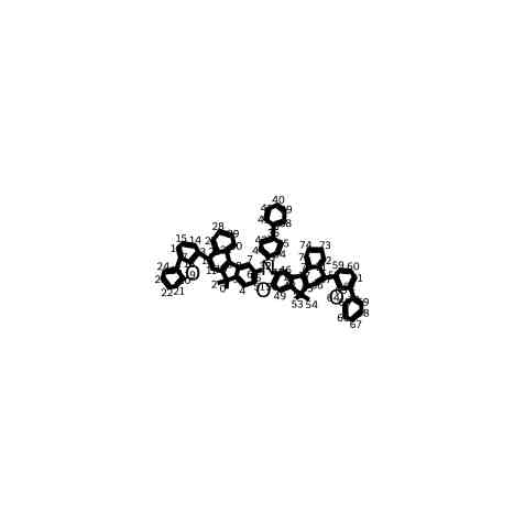 CC1(C)c2cc3c(cc2-c2c1cc(-c1cccc4c1oc1ccccc14)c1ccccc21)N(c1ccc(-c2ccccc2)cc1)c1cc2c(cc1O3)C(C)(C)c1cc(-c3cccc4c3oc3ccccc34)c3ccccc3c1-2